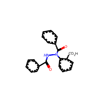 O=C(NN(C(=O)c1ccccc1)c1ccccc1C(=O)O)c1ccccc1